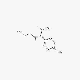 CC(O)C(NCCO)c1ccc(N)cc1